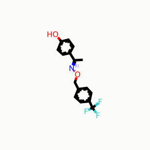 C/C(=N\OCc1ccc(C(F)(F)F)cc1)c1ccc(O)cc1